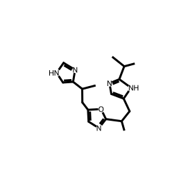 CC(C)c1ncc(CC(C)c2ncc(CC(C)c3c[nH]cn3)o2)[nH]1